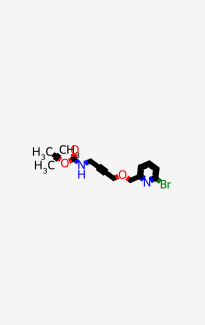 CC(C)(C)OC(=O)NCC#CCOCc1cccc(Br)n1